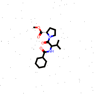 COC(=O)[C@@H]1CCCN1C(=O)C(NC(=O)C1CCCCC1)C(C)C